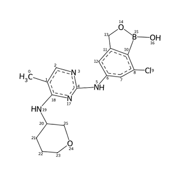 Cc1cnc(Nc2cc(Cl)c3c(c2)COB3O)nc1NC1CCCOC1